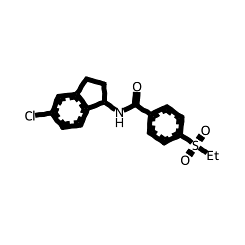 CCS(=O)(=O)c1ccc(C(=O)NC2CCc3cc(Cl)ccc32)cc1